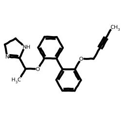 CC#CCOc1ccccc1-c1ccccc1OC(C)C1=NCCN1